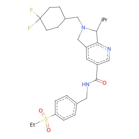 CCS(=O)(=O)c1ccc(CNC(=O)c2cnc3c(c2)CN(CC2CCC(F)(F)CC2)C3C(C)C)cc1